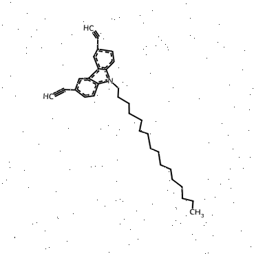 C#Cc1ccc2c(c1)c1cc(C#C)ccc1n2CCCCCCCCCCCCCCCC